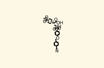 CS(=O)(=O)N1CCN([C@@H](CNS(=O)(=O)c2ccc(OCc3ccc(C#N)cc3)cc2)C(=O)O)CC1